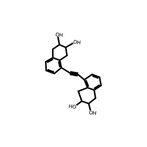 OC1Cc2cccc(C#Cc3cccc4c3CC(O)C(O)C4)c2CC1O